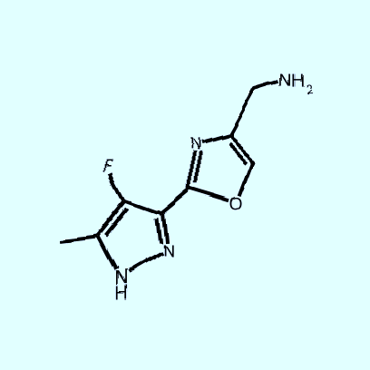 Cc1[nH]nc(-c2nc(CN)co2)c1F